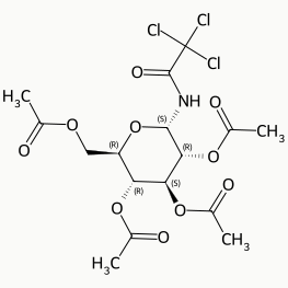 CC(=O)OC[C@H]1O[C@H](NC(=O)C(Cl)(Cl)Cl)[C@H](OC(C)=O)[C@@H](OC(C)=O)[C@@H]1OC(C)=O